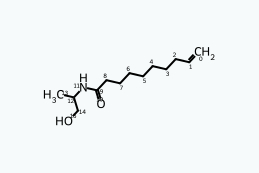 C=CCCCCCCCC(=O)NC(C)CO